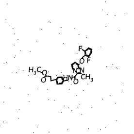 CCOC(=O)CCc1ccc(CNC(=O)c2c(C)nc3c(OCc4c(F)cccc4F)cccn23)cc1